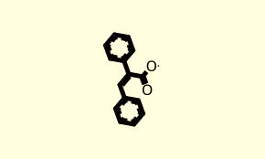 [O]C(=O)C(=Cc1ccccc1)c1ccccc1